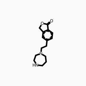 O=C1OCc2cc(CCN3CCCNCC3)ccc21